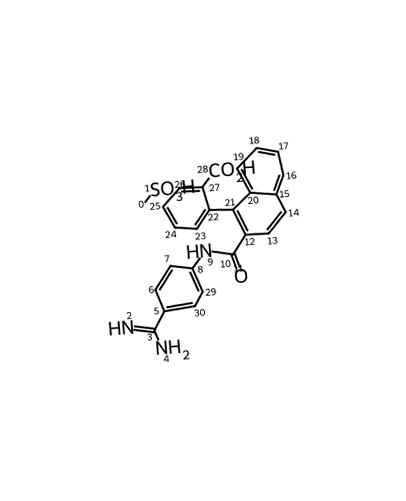 CS(=O)(=O)O.N=C(N)c1ccc(NC(=O)c2ccc3ccccc3c2-c2ccccc2C(=O)O)cc1